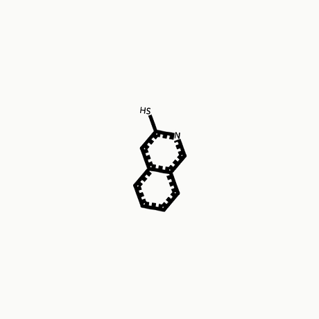 Sc1cc2ccccc2cn1